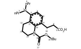 CCCN(CCC)c1ccc(CCC(=O)O)c2c1CCCN2C(=O)OC(C)(C)C